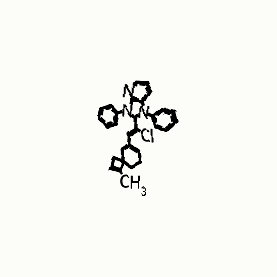 CC1=CCC12CCC=C(/C=C(\Cl)C1N(c3ccccc3)c3cccnc3N1c1ccccc1)C2